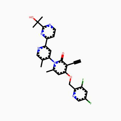 C#Cc1c(OCc2ncc(F)cc2F)cc(C)n(-c2cc(-c3ccnc(C(C)(C)O)n3)ncc2C)c1=O